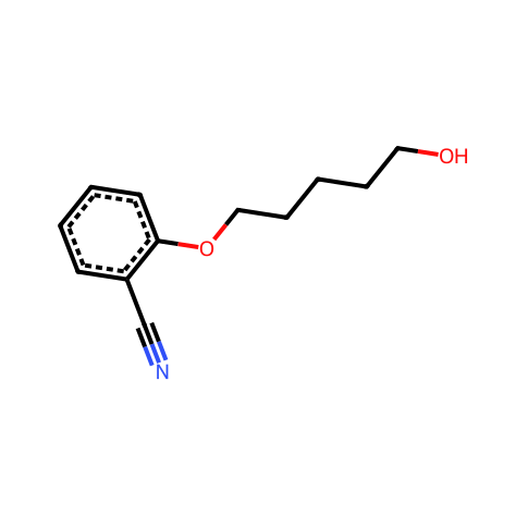 N#Cc1ccccc1OCCCCCO